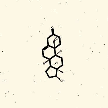 CC(=O)OC[C@]12CCC(=O)CC1=CC[C@@H]1[C@@H]2CC[C@]2(C)[C@@H](O)CC[C@@H]12